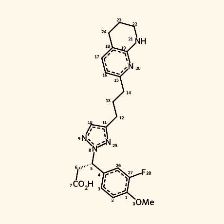 COc1ccc([C@H](CC(=O)O)n2ncc(CCCc3ccc4c(n3)NCCC4)n2)cc1F